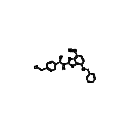 COc1ccc(OCc2ccccc2)c2sc(NC(=O)c3ccc(CCl)cc3)nc12